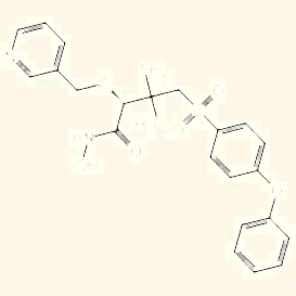 CC(C)(CS(=O)(=O)c1ccc(Oc2ccccc2)cc1)[C@H](OCc1cccnc1)C(=O)NO